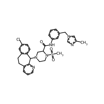 Cc1cn(Cc2cccc(NC(=O)C3CN(C4c5ccc(Cl)cc5CCc5cccnc54)CCN3S(C)(=O)=O)c2)cn1